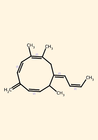 C=C1/C=C\C(C)=C(\C)C/C(=C/C=C\C)C(C)/C=C\1